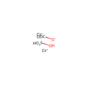 O=C([O-])[O-].O=S(=O)(O)O.[Cs+].[Cs+]